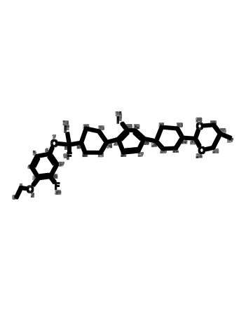 CCOc1ccc(OC(F)(F)C2CCC(c3ccc(C4CCC(C5OCC(C)CO5)CC4)cc3F)CC2)cc1F